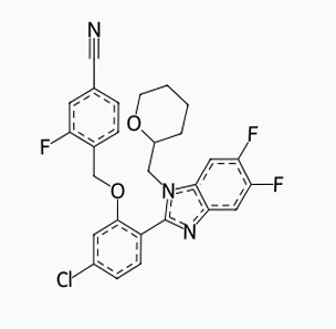 N#Cc1ccc(COc2cc(Cl)ccc2-c2nc3cc(F)c(F)cc3n2CC2CCCCO2)c(F)c1